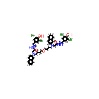 O=C(CN(CCCCOCCCCN(CC(=O)N/N=C/c1cc(Br)c(O)c(Br)c1)c1ccc2ccccc2c1)c1ccc2ccccc2c1)N/N=C/c1cc(Br)c(O)c(Br)c1